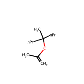 C=C(C)OC(C)(CCC)CCC